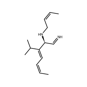 C/C=C\C=C(/C(C)C)[C@H](C=N)NC/C=C\C